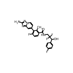 Cc1c(C(=O)NCC(F)(F)C(O)c2ccc(F)cc2)ccc(F)c1-c1ccn2nc(N)nc2c1